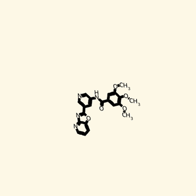 COc1cc(C(=O)Nc2cncc(-c3nc4ncccc4o3)c2)cc(OC)c1OC